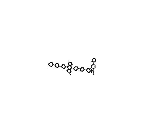 CCN1c2ccc(-c3ccc(-c4ccc(-c5c6ccc(C)cc6c(-c6ccc(-c7ccc(-c8ccccc8)cc7)cc6)c6ccc(C)cc56)cc4)cc3)cc2C2C=C(c3ccccc3)C=CC21